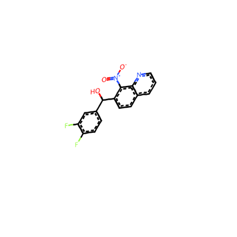 O=[N+]([O-])c1c(C(O)c2ccc(F)c(F)c2)ccc2cccnc12